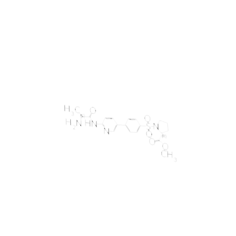 COC(=O)[C@H]1CCCN1S(=O)(=O)c1ccc(-c2ccc(NC(=O)[C@H](C)N)nc2)cc1